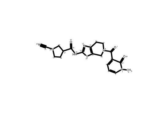 Cn1cccc(C(=O)N2CCc3nc(NC(=O)C4CCN(C#N)C4)sc3C2)c1=O